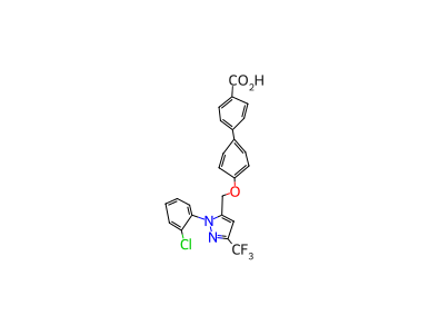 O=C(O)c1ccc(-c2ccc(OCc3cc(C(F)(F)F)nn3-c3ccccc3Cl)cc2)cc1